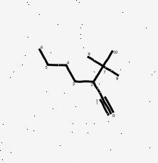 C#CC(CCCC)C(C)(C)C